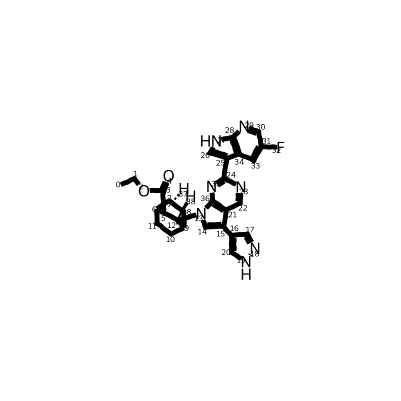 CCOC(=O)[C@@H]1C2CCC(CC2)[C@H]1n1cc(-c2cn[nH]c2)c2cnc(-c3c[nH]c4ncc(F)cc34)nc21